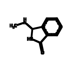 CNC1NC(=O)c2ccccc21